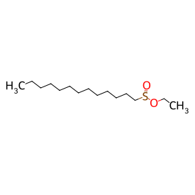 CCCCCCCCCCCCCS(=O)OCC